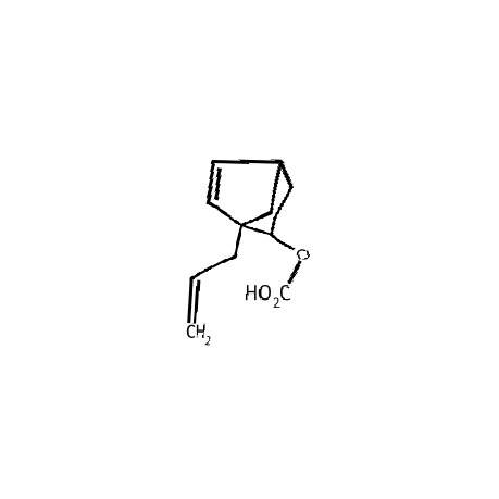 C=CCC12C=CC(CC1OC(=O)O)C2